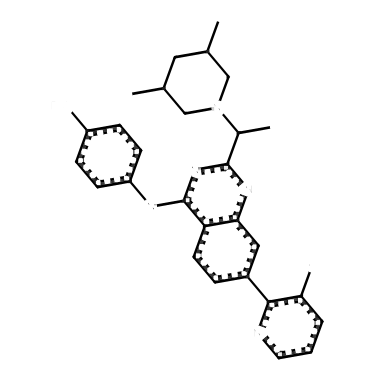 CC1CC(C)CN(C(C)c2nc(Nc3ccc(C(F)(F)F)cc3)c3ccc(-c4ncccc4C(F)(F)F)cc3n2)C1